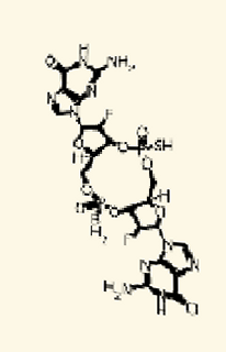 BP1(=O)OC[C@H]2O[C@@H](n3cnc4c(=O)[nH]c(N)nc43)C(F)C2OP(=O)(S)OC[C@H]2O[C@@H](n3cnc4c(=O)[nH]c(N)nc43)C(F)C2O1